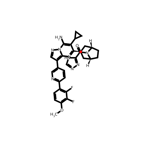 COc1ccc(-c2ccc(-c3cnn4c(N)c(C5CC5)c([C@@H]5C[C@H]6CC[C@@H](C5)N6C(=O)c5nnc[nH]5)nc34)cn2)c(F)c1F